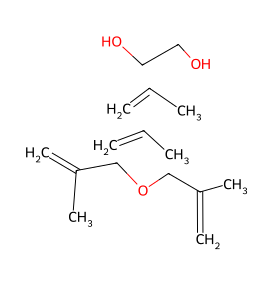 C=C(C)COCC(=C)C.C=CC.C=CC.OCCO